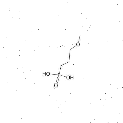 COCCCP(=O)(O)O